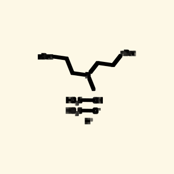 CCCCCCCCCCCCN(C)CCCCCCCCCCCC.O=S(=O)(O)O.O=S(=O)([O-])O.[H+]